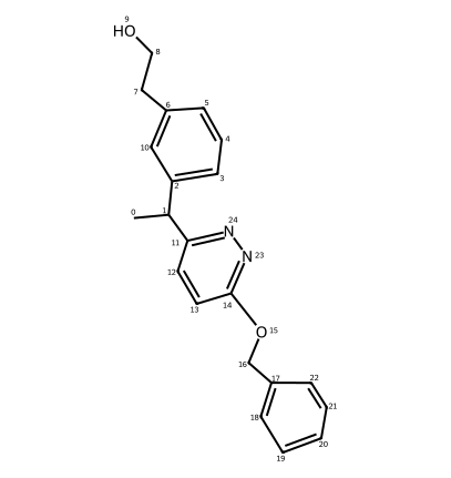 CC(c1cccc(CCO)c1)c1ccc(OCc2ccccc2)nn1